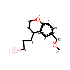 BCCCC1CCOc2ccc(COC)cc21